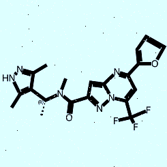 Cc1n[nH]c(C)c1[C@@H](C)N(C)C(=O)c1cc2nc(-c3ccco3)cc(C(F)(F)F)n2n1